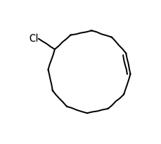 ClC1CCCC=CCCCCCC1